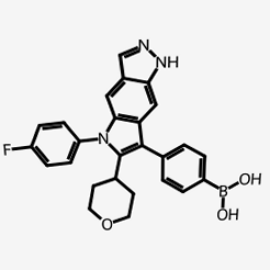 OB(O)c1ccc(-c2c(C3CCOCC3)n(-c3ccc(F)cc3)c3cc4cn[nH]c4cc23)cc1